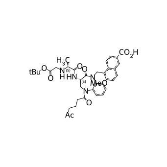 COc1ccc2cc(C(=O)O)ccc2c1CN1C(=O)[C@@H](NC(=O)[C@H](C)NCC(=O)OC(C)(C)C)CN(C(=O)CCCC(C)=O)c2ccccc21